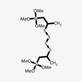 CO[Si](CC(C)SSSSC(C)C[Si](OC)(OC)OC)(OC)OC